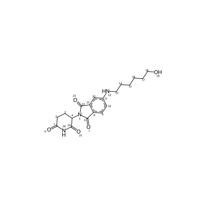 O=C1CCC(N2C(=O)c3ccc(NCCCCCCO)cc3C2=O)C(=O)N1